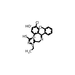 CCn1nc(S)[n+]2c1CN=C(c1ccccc1Cl)c1cc(Cl)ccc1-2.[OH-]